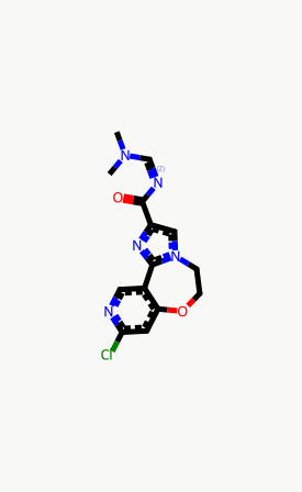 CN(C)/C=N\C(=O)c1cn2c(n1)-c1cnc(Cl)cc1OCC2